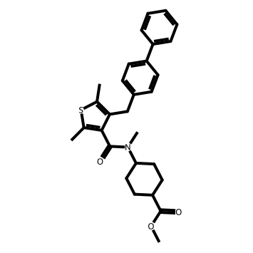 COC(=O)C1CCC(N(C)C(=O)c2c(C)sc(C)c2Cc2ccc(-c3ccccc3)cc2)CC1